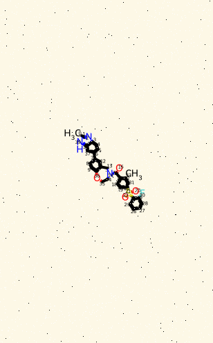 Cc1nc2ccc(-c3ccc4c(c3)CN(C(=O)c3ccc(S(=O)(=O)c5ccccc5F)cc3C)CCO4)cc2[nH]1